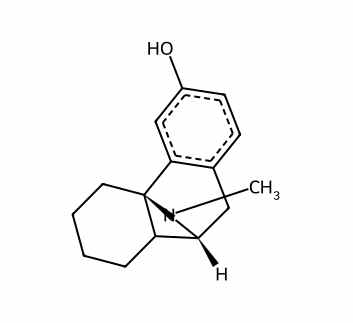 CN1C[C@]23CCCCC2[C@H]1Cc1ccc(O)cc13